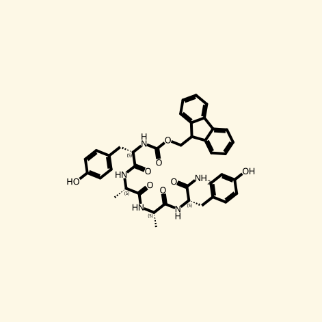 C[C@H](NC(=O)[C@H](C)NC(=O)[C@H](Cc1ccc(O)cc1)NC(=O)OCC1c2ccccc2-c2ccccc21)C(=O)N[C@@H](Cc1ccc(O)cc1)C(N)=O